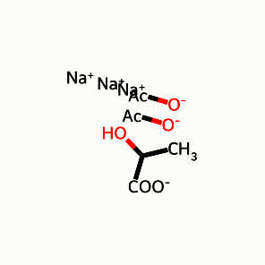 CC(=O)[O-].CC(=O)[O-].CC(O)C(=O)[O-].[Na+].[Na+].[Na+]